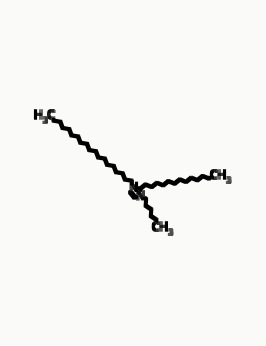 CCCCCCCCCCCCCCCCCCCN1C=CN(CCCCCC)C1CCCCCCCCCCCCC